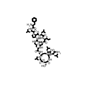 CC[C@H](C)[C@H](NC(=O)[C@H](CC(C)C)NC(=O)C1CCCN1C(=O)[C@H](CC(C)C)NC(=O)[C@@H](N)Cc1ccccc1)C(=O)NCC(=O)N[C@@H](CCCNC(=N)N)C(=O)NC[C@@H]1CCN([C@@H](CC(C)C)C(=O)N[C@@H](CC(C)C)C(N)=O)C(=O)CNC(=O)[C@H](CO)NC(=O)[C@H](CC(C)C)N1